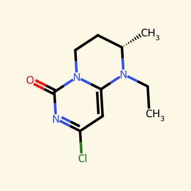 CCN1c2cc(Cl)nc(=O)n2CC[C@@H]1C